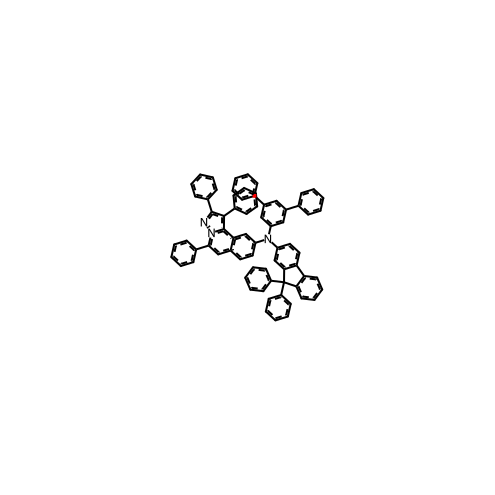 c1ccc(-c2cc(-c3ccccc3)cc(N(c3ccc4c(c3)C(c3ccccc3)(c3ccccc3)c3ccccc3-4)c3ccc4cc(-c5ccccc5)n5nc(-c6ccccc6)c(-c6ccccc6)c5c4c3)c2)cc1